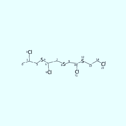 CC(Cl)CSC(Cl)CSCC(Cl)SCCCl